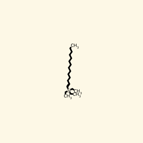 CCCCCCCCCCCC/C=C/[Si](CC)(CC)CC